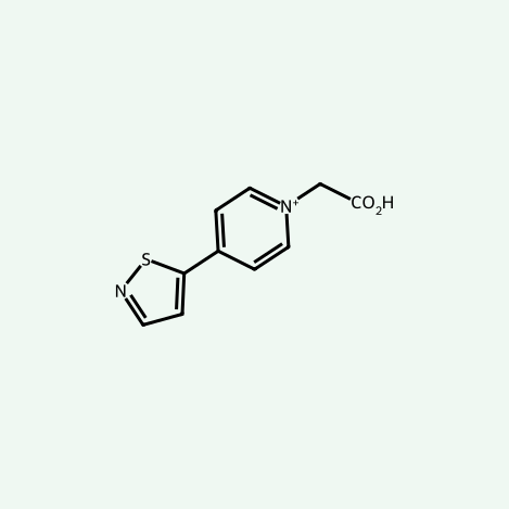 O=C(O)C[n+]1ccc(-c2ccns2)cc1